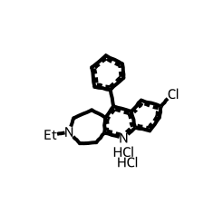 CCN1CCc2nc3ccc(Cl)cc3c(-c3ccccc3)c2CC1.Cl.Cl